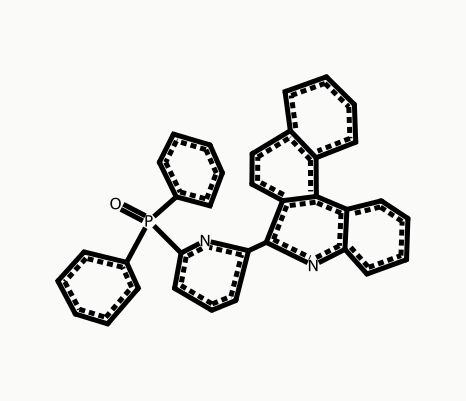 O=P(c1ccccc1)(c1ccccc1)c1cccc(-c2nc3ccccc3c3c2ccc2ccccc23)n1